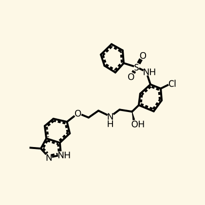 Cc1n[nH]c2cc(OCCNC[C@H](O)c3ccc(Cl)c(NS(=O)(=O)c4ccccc4)c3)ccc12